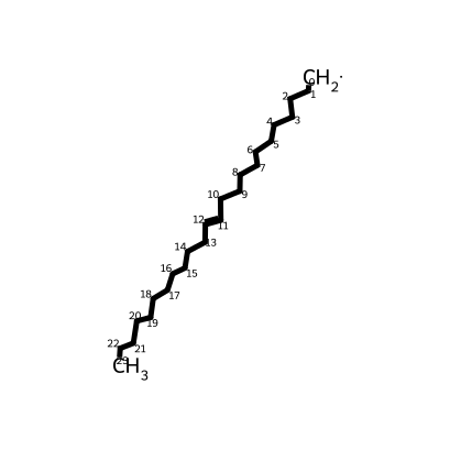 [CH2]CCCCCCCCCCC=CCCCCCCCCCCC